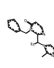 CCC(c1nccc(=O)n1Cc1ccccc1)n1ccnc1C